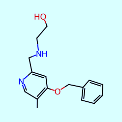 Cc1cnc(CNCCO)cc1OCc1ccccc1